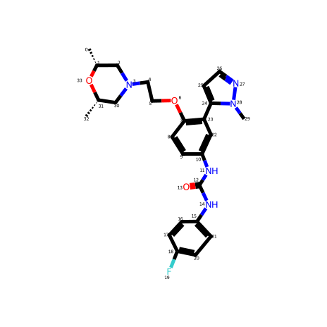 C[C@@H]1CN(CCOc2ccc(NC(=O)Nc3ccc(F)cc3)cc2-c2ccnn2C)C[C@H](C)O1